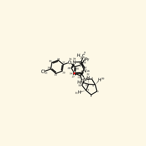 Cc1cc(N2C[C@H]3CC[C@@H](C2)[C@H]3Nc2nc(Oc3ccc(Cl)cc3)n(C(C)C)n2)ncn1